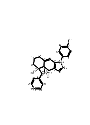 C[C@]12Cc3cnn(-c4ccc(F)cc4)c3C=C1CCC[C@]2(F)[C@H](O)c1ccncc1